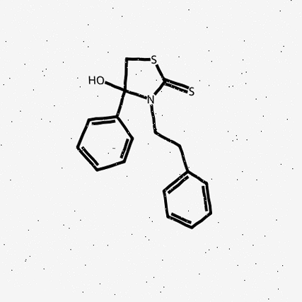 OC1(c2ccccc2)CSC(=S)N1CCc1ccccc1